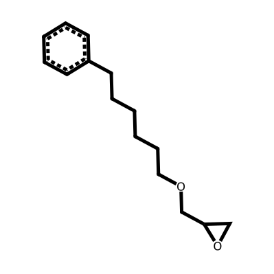 c1ccc(CCCCCCOCC2CO2)cc1